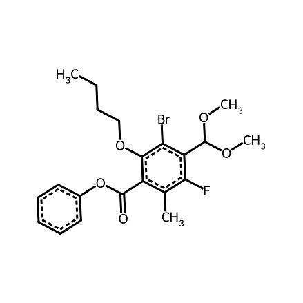 CCCCOc1c(Br)c(C(OC)OC)c(F)c(C)c1C(=O)Oc1ccccc1